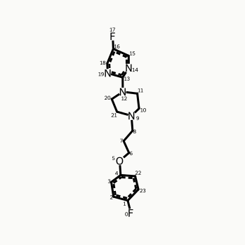 Fc1ccc(OCCCN2CCN(c3ncc(F)cn3)CC2)cc1